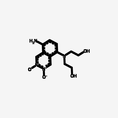 Nc1ccc(N(CCO)CCO)c2c[n+]([O-])[n+]([O-])cc12